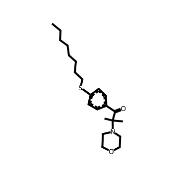 CCCCCCCCSc1ccc(C(=O)C(C)(C)N2CCOCC2)cc1